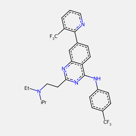 CCN(CCc1nc(Nc2ccc(C(F)(F)F)cc2)c2ccc(-c3ncccc3C(F)(F)F)cc2n1)C(C)C